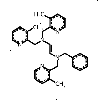 Cc1cccnc1CN(/C=C/N(Cc1ncccc1C)Cc1ncccc1C)Cc1ccccc1